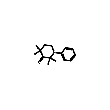 CC1(C)CCN(c2ccccc2)C(C)(C)C1=S